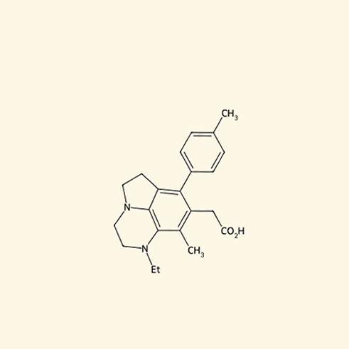 CCN1CCN2CCc3c(-c4ccc(C)cc4)c(CC(=O)O)c(C)c1c32